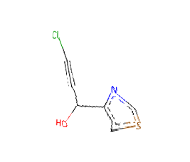 OC(C#CCl)c1cscn1